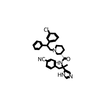 CC(Cc1ccc(C#N)cc1)(NC(=O)[C@H]1CCCN(CC(c2ccccc2)c2cccc(Cl)c2)C1)c1cnc[nH]1